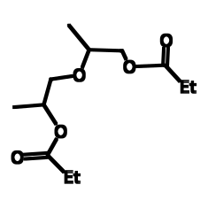 CCC(=O)OCC(C)OCC(C)OC(=O)CC